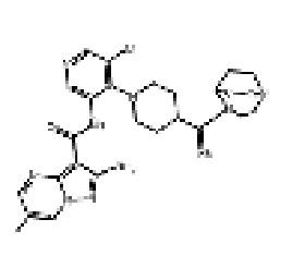 N=C(C1CCN(c2c(Cl)cncc2NC(=O)c2c(N)nn3cc(F)cnc23)CC1)N1CCN2CCC1CC2